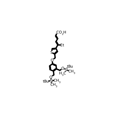 CC/C(=C\C=C\C(=O)O)c1csc(COc2ccc(CO[Si](C)(C)C(C)(C)C)c(CO[Si](C)(C)C(C)(C)C)c2)c1